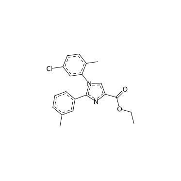 CCOC(=O)c1cn(-c2cc(Cl)ccc2C)c(-c2cccc(C)c2)n1